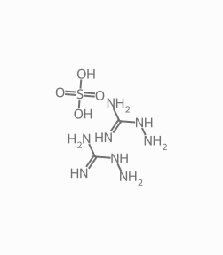 N=C(N)NN.N=C(N)NN.O=S(=O)(O)O